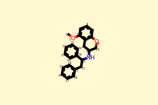 COc1cccc2c1CC(NC(Cc1ccccc1)c1ccccc1)CO2